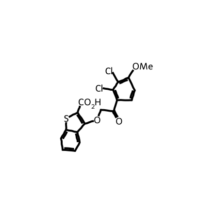 COc1ccc(C(=O)COc2c(C(=O)O)sc3ccccc23)c(Cl)c1Cl